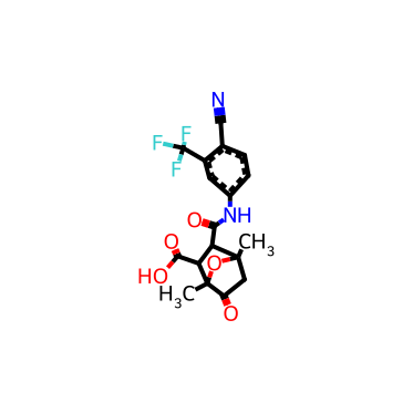 CC12CC(=O)C(C)(O1)C(C(=O)O)C2C(=O)Nc1ccc(C#N)c(C(F)(F)F)c1